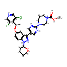 C[C@@H](Oc1ccc2c(c1)c(-c1cnc(N3CCCN(C(=O)OC(C)(C)C)CC3)nc1)nn2C1CCCCO1)c1c(Cl)cncc1Cl